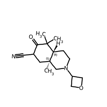 CC1(C)C(=O)C(C#N)C[C@]2(C)CN(C3COC3)CC[C@@H]12